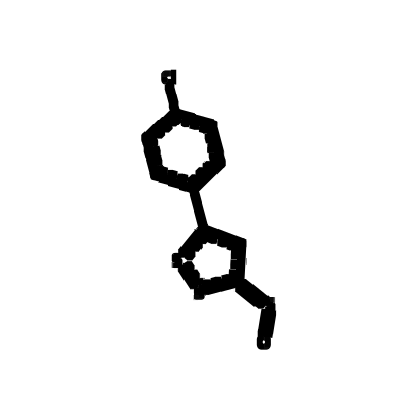 O=S=c1cc(-c2ccc(Cl)cc2)ss1